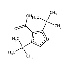 C[Si](C)(C)c1coc([Si](C)(C)C)c1C(=O)O